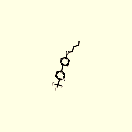 CCCCOc1ccc(-c2ccc(C(F)(F)F)nc2)cc1